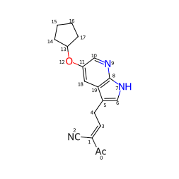 CC(=O)C(C#N)=CCc1c[nH]c2ncc(OC3CCCC3)cc12